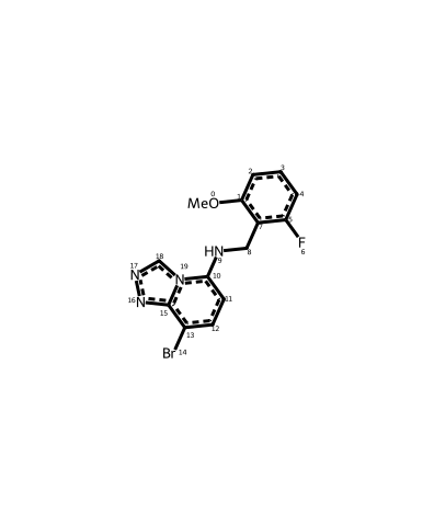 COc1cccc(F)c1CNc1ccc(Br)c2nncn12